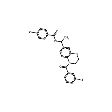 CC(NC(=O)c1ccc(Cl)cc1)c1ccc2c(n1)OCCN2C(=O)c1cccc(Cl)c1